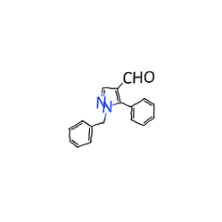 O=Cc1cnn(Cc2ccccc2)c1-c1ccccc1